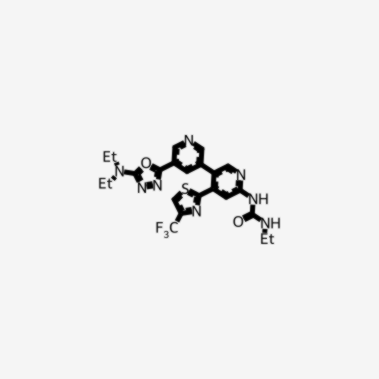 CCNC(=O)Nc1cc(-c2nc(C(F)(F)F)cs2)c(-c2cncc(-c3nnc(N(CC)CC)o3)c2)cn1